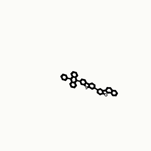 c1ccc(-c2c3ccccc3c(-c3ccc4c(c3)sc3cc(-c5ccc6oc7c8ccccc8ccc7c6c5)ccc34)c3ccccc23)cc1